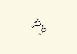 CCc1csc(Cc2cc(Cl)cc(Cl)c2)n1